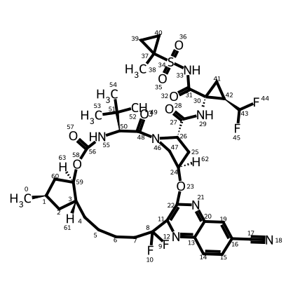 C[C@@H]1C[C@H]2CCCCC(F)(F)c3nc4ccc(C#N)cc4nc3O[C@@H]3C[C@@H](C(=O)N[C@]4(C(=O)NS(=O)(=O)C5(C)CC5)C[C@H]4C(F)F)N(C3)C(=O)[C@H](C(C)(C)C)NC(=O)O[C@@H]2C1